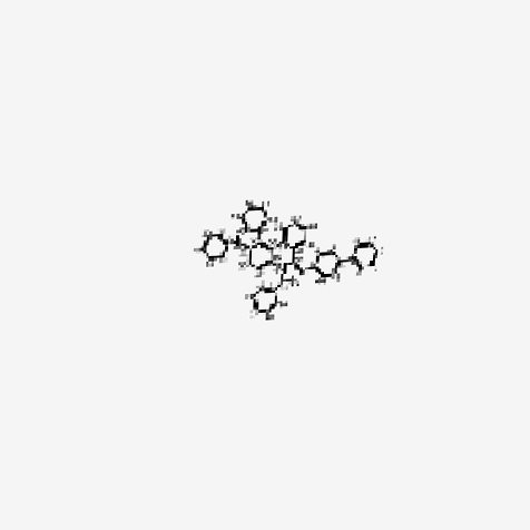 c1ccc(-c2ccc(-c3nc(-c4ccccc4)n4c5ccc6c(c7ccccc7n6-c6ccccc6)c5c5ccccc5c34)cc2)cc1